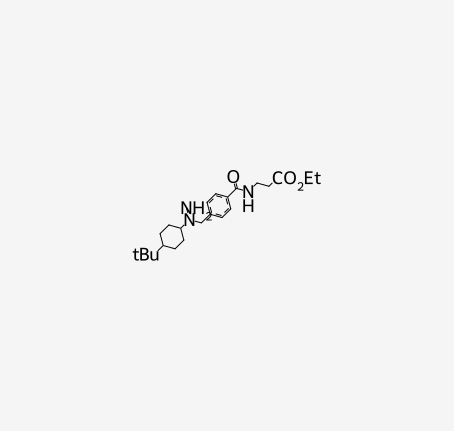 CCOC(=O)CCNC(=O)c1ccc(CN(N)C2CCC(C(C)(C)C)CC2)cc1